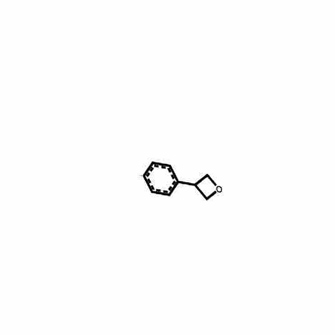 [c]1ccc(C2COC2)cc1